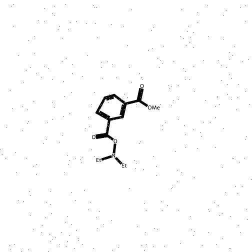 CCN(CC)OC(=O)c1cccc(C(=O)OC)c1